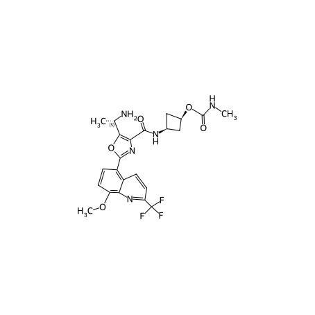 CNC(=O)O[C@H]1C[C@@H](NC(=O)c2nc(-c3ccc(OC)c4nc(C(F)(F)F)ccc34)oc2[C@H](C)N)C1